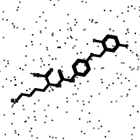 NCCCCC(NC(=O)Nc1ccc(OCc2cc(F)ccc2F)cc1)C(=O)O